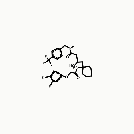 CN(Cc1ccc(C(F)(F)F)cc1)C(=O)CC(O)CC1(NC(=O)COc2ccc(Cl)c(F)c2)CCCCC1